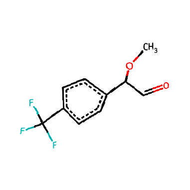 COC(C=O)c1ccc(C(F)(F)F)cc1